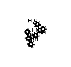 Cc1ccc(C2NC(c3ccc(Nc4c(-c5ccccc5)ccc5c4sc4ccccc45)cc3)Nc3ccccc32)cc1